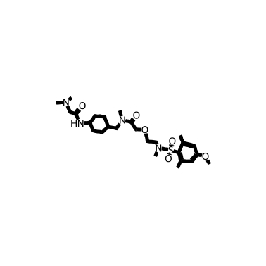 COc1cc(C)c(S(=O)(=O)N(C)CCOCC(=O)N(C)CC2CCC(NC(=O)CN(C)C)CC2)c(C)c1